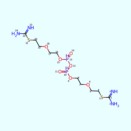 N=C(N)SCCOCCO[PH](=O)O[PH](=O)OCCOCCSC(=N)N